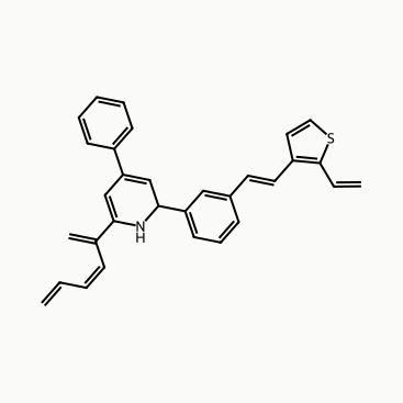 C=C/C=C\C(=C)C1=CC(c2ccccc2)=CC(c2cccc(/C=C/c3ccsc3C=C)c2)N1